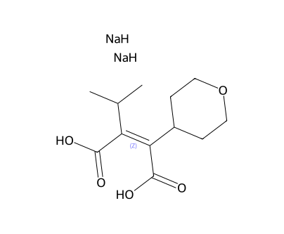 CC(C)/C(C(=O)O)=C(/C(=O)O)C1CCOCC1.[NaH].[NaH]